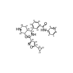 O=C(Nc1cccnc1)c1cccc(C(NC(=O)c2cc(C3CC3)on2)C2CCNCC2)c1